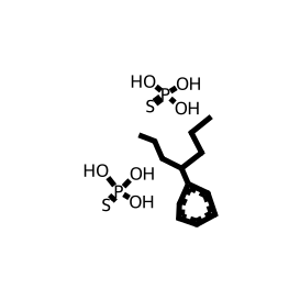 CCCC(CCC)c1ccccc1.OP(O)(O)=S.OP(O)(O)=S